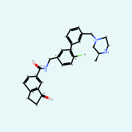 C[C@H]1CN(Cc2cccc(-c3cc(CNC(=O)c4ccc5c(c4)C(=O)CC5)ccc3F)c2)CCN1